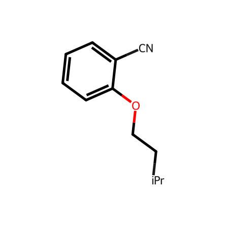 CC(C)CCOc1ccccc1C#N